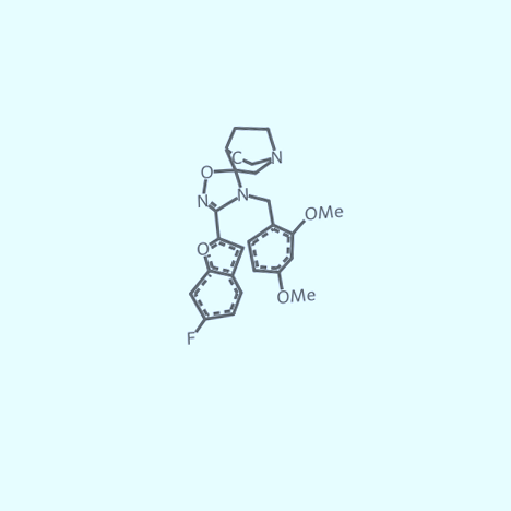 COc1ccc(CN2C(c3cc4ccc(F)cc4o3)=NOC23CN2CCC3CC2)c(OC)c1